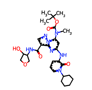 CN(C(=O)OC(C)(C)C)c1cc(Nc2cccn(C3CCCCC3)c2=O)nc2c(C(=O)NC3COCC3O)cnn12